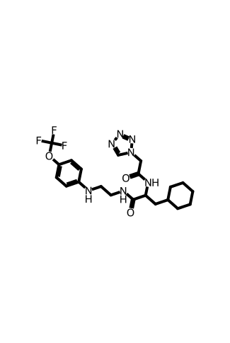 O=C(Cn1cnnn1)NC(CC1CCCCC1)C(=O)NCCNc1ccc(OC(F)(F)F)cc1